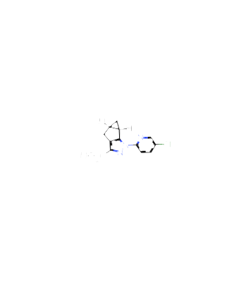 O=C(O)c1nn(-c2ccc(Cl)cn2)c2c1C[C@@H]1C[C@H]21